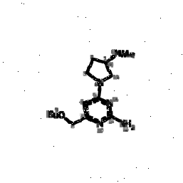 CN[C@@H]1CCN(c2cc(COCC(C)C)nc(N)n2)C1